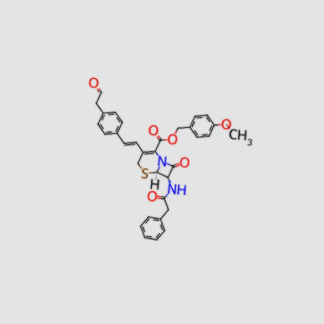 COc1ccc(COC(=O)C2=C(/C=C/c3ccc(CC=O)cc3)CS[C@@H]3[C@H](NC(=O)Cc4ccccc4)C(=O)N23)cc1